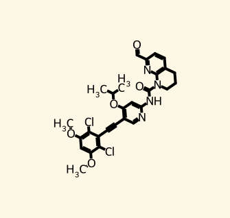 COc1cc(OC)c(Cl)c(C#Cc2cnc(NC(=O)N3CCCc4ccc(C=O)nc43)cc2OC(C)C)c1Cl